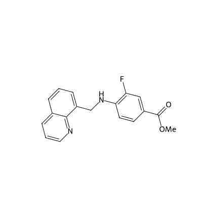 COC(=O)c1ccc(NCc2cccc3cccnc23)c(F)c1